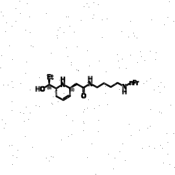 CCCNCCCCNC(=O)C[C@H]1C=CCC([C@@H](O)CC)N1